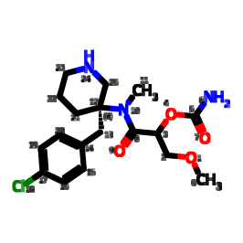 COCC(OC(N)=O)C(=O)N(C)[C@@]1(Cc2ccc(Cl)cc2)CCCNC1